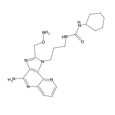 NOCc1nc2c(N)nc3cccnc3c2n1CCCNC(=O)NC1CCCCC1